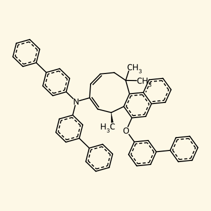 C[C@H]1/C=C(N(c2ccc(-c3ccccc3)cc2)c2cccc(-c3ccccc3)c2)\C=C/CC(C)(C)c2c1c(Oc1cccc(-c3ccccc3)c1)cc1ccccc21